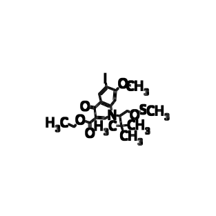 CCOC(=O)c1cn(C(COSC)C(C)(C)C)c2cc(OC)c(I)cc2c1=O